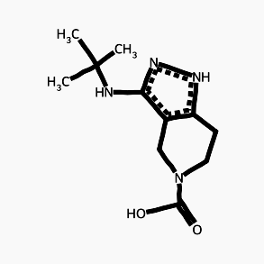 CC(C)(C)Nc1n[nH]c2c1CN(C(=O)O)CC2